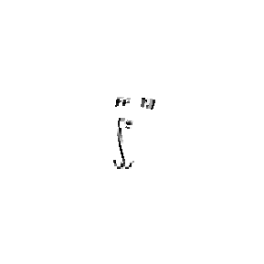 [Fe].[Fe][W].[Ni]